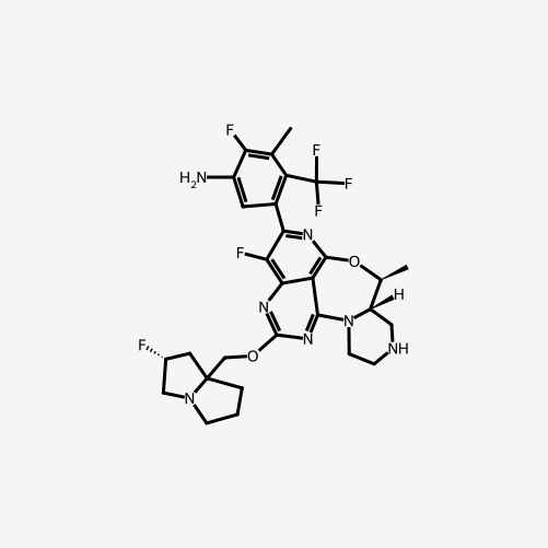 Cc1c(F)c(N)cc(-c2nc3c4c(nc(OCC56CCCN5C[C@H](F)C6)nc4c2F)N2CCNC[C@H]2[C@H](C)O3)c1C(F)(F)F